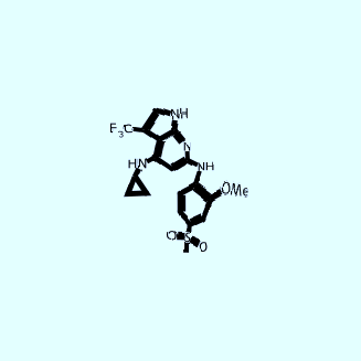 COc1cc(S(C)(=O)=O)ccc1Nc1cc(NC2CC2)c2c(C(F)(F)F)c[nH]c2n1